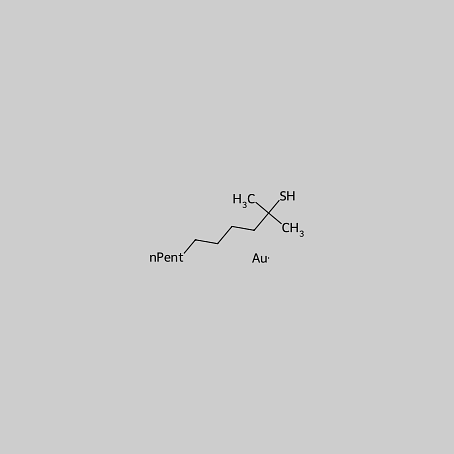 CCCCCCCCCC(C)(C)S.[Au]